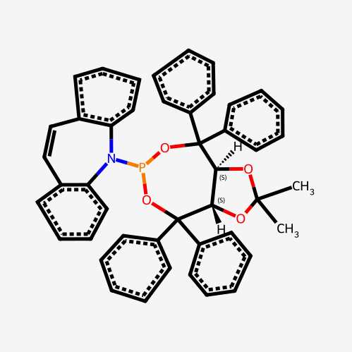 CC1(C)O[C@H]2[C@H](O1)C(c1ccccc1)(c1ccccc1)OP(N1c3ccccc3C=Cc3ccccc31)OC2(c1ccccc1)c1ccccc1